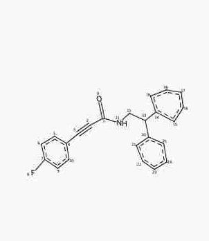 O=C(C#Cc1ccc(F)cc1)NCC(c1ccccc1)c1ccccc1